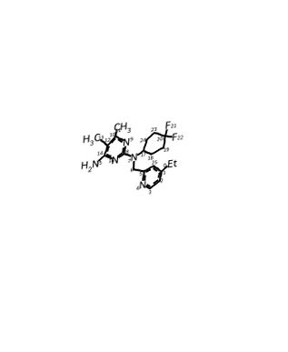 CCc1ccnc(CN(c2nc(C)c(C)c(N)n2)C2CCC(F)(F)CC2)c1